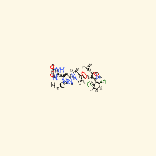 Cn1nc(N2CCC(OCc3c(-c4c(Cl)cccc4Cl)noc3C3CC3)CC2)cc1-c1noc(=O)[nH]1